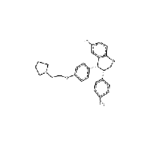 Oc1ccc2c(c1)[C@@H](c1ccc(OCCN3CCCC3)cc1)[C@@H](c1ccc(C(F)(F)F)cc1)CO2